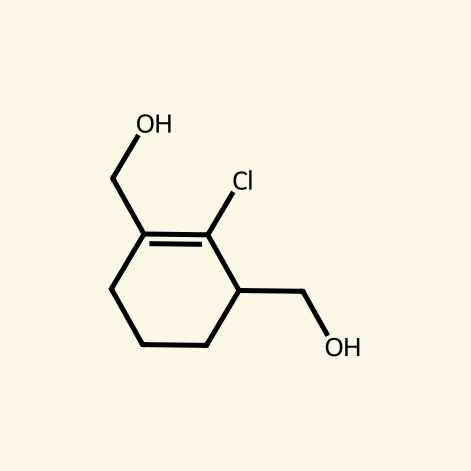 OCC1=C(Cl)C(CO)CCC1